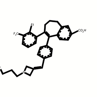 CCc1c(C2=C(c3ccc(C=C4CN(CCCF)C4)cc3)c3ccc(C(=O)O)cc3CCC2)cccc1C(F)(F)F